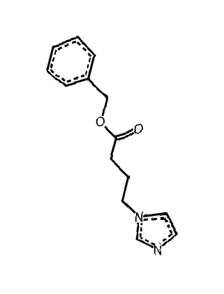 O=C(CCCn1ccnc1)OCc1ccccc1